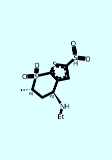 CCN[C@H]1C[C@H](C)S(=O)(=O)c2sc([SH](=O)=O)cc21